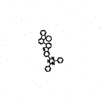 c1ccc(-c2nc(-c3ccccc3)nc(-c3ccc4sc5c(-c6cccc7c6C6(CCCCC6)c6ccccc6-7)cccc5c4c3)n2)cc1